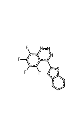 Fc1c(F)c(F)c2c(-c3cc4ccccc4s3)nnnc2c1F